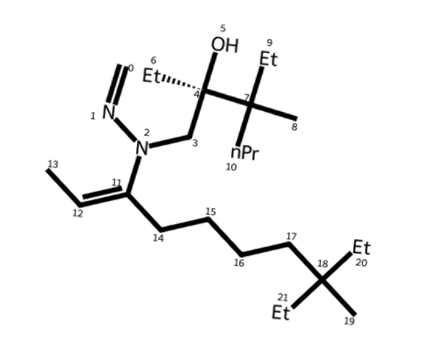 C=NN(C[C@](O)(CC)C(C)(CC)CCC)/C(=C\C)CCCCC(C)(CC)CC